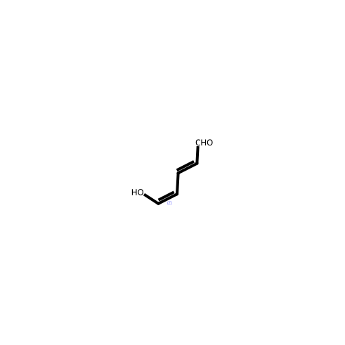 O=CC=C/C=C\O